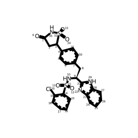 O=C1CC(c2ccc(C[C@H](NS(=O)(=O)c3ccccc3Cl)c3nc4ccccc4[nH]3)cc2)S(=O)(=O)N1